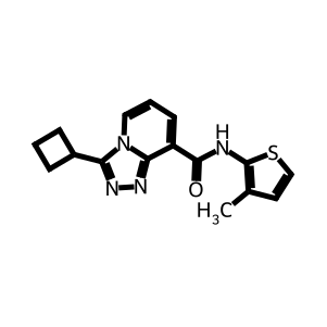 Cc1ccsc1NC(=O)c1cccn2c(C3CCC3)nnc12